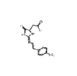 O=C(Cl)CC1N/C(=N\N=C\c2ccc([N+](=O)[O-])cc2)NC1=O